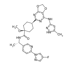 CO[C@]1(C(=O)N[C@@H](C)c2ccc(-n3cc(F)cn3)nc2)CC[C@H](c2nc(Nc3cc(C)[nH]n3)c3c(n2)OCO3)CC1